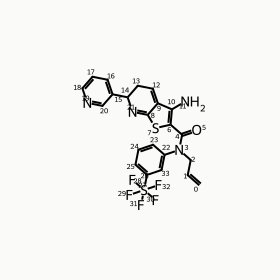 C=CCN(C(=O)c1sc2c(c1N)=CCC(c1cccnc1)N=2)c1cccc(S(F)(F)(F)(F)F)c1